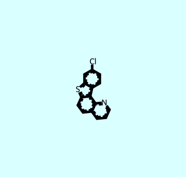 Clc1ccc2c(c1)sc1ccc3cccnc3c12